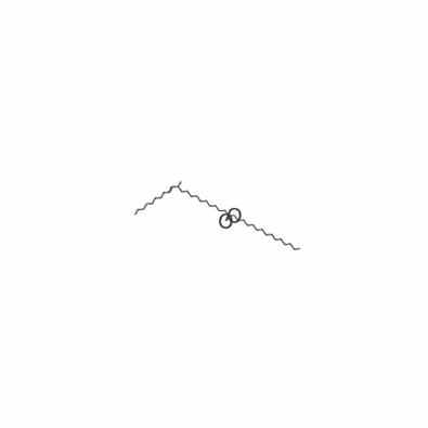 CCCCCCCCC=CC(C)CCCCCCCCCCC(=O)OCCCCCCCCCCCCCC